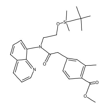 COC(=O)c1ccc(CC(=O)N(CCO[Si](C)(C)C(C)(C)C)c2cccc3cccnc23)cc1C